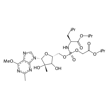 COc1nc(C)nc2c1ncn2[C@@H]1O[C@H](COP(=O)(N[C@@H](CC(C)C)C(=O)OC(C)C)OCC(=O)OC(C)C)C(O)[C@]1(C)O